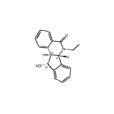 CCN1C(=O)c2ccccc2[C@@H]2[C@H]1c1ccccc1[C@@H]2O